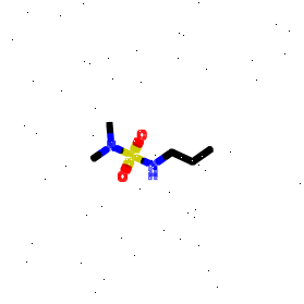 CCCNS(=O)(=O)N(C)C